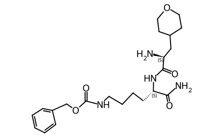 NC(=O)[C@H](CCCCNC(=O)OCc1ccccc1)NC(=O)[C@@H](N)CC1CCOCC1